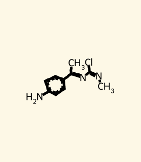 C/N=C(Cl)\N=C(/C)c1ccc(N)cc1